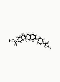 CC(=O)N1CCN(c2ccc(CN3CC4CN(C(=O)O)CC4C3)c(Cl)c2)CC1